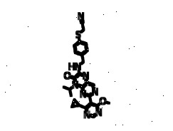 COc1ncnc(C2CC2)c1-c1ncc2nc(NCc3ccc(SCC#N)cc3)c(=O)n(C(C)C)c2n1